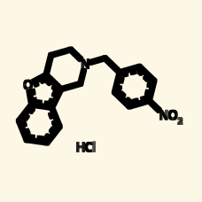 Cl.O=[N+]([O-])c1ccc(CN2CCc3oc4ccccc4c3C2)cc1